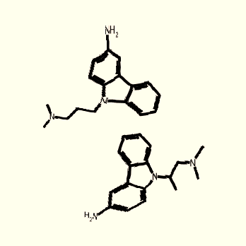 CC(CN(C)C)n1c2ccccc2c2cc(N)ccc21.CN(C)CCCn1c2ccccc2c2cc(N)ccc21